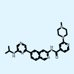 CC(C)Nc1cncc(-c2ccc3cnc(NC(=O)c4ccnc(N5CCN(C)CC5)c4)cc3c2)n1